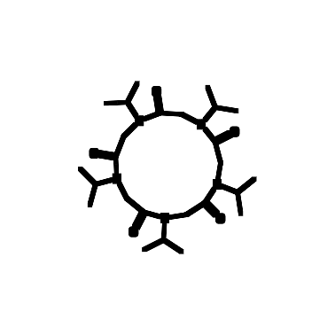 CC(C)N1CC(=O)N(C(C)C)CC(=O)N(C(C)C)CC(=O)N(C(C)C)CC(=O)N(C(C)C)CC1=O